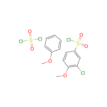 COc1ccc(S(=O)(=O)Cl)cc1Cl.COc1ccccc1.O=S(=O)(Cl)Cl